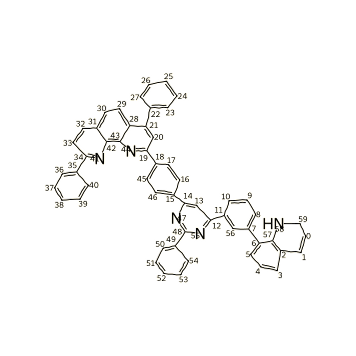 C1=Cc2cccc(-c3cccc(-c4cc(-c5ccc(-c6cc(-c7ccccc7)c7ccc8ccc(-c9ccccc9)nc8c7n6)cc5)nc(-c5ccccc5)n4)c3)c2NC1